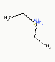 CCCCCCCC/C=C\CCCCCCCC(N)SC(N)CCCCCCC/C=C\CCCCCCCC